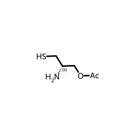 CC(=O)OC[C@H](N)CS